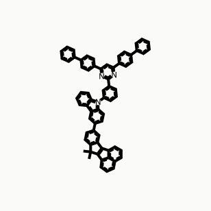 CC1(C)C2=C(c3cc(-c4ccc5c(c4)c4ccccc4n5-c4cccc(-c5nc(-c6ccc(-c7ccccc7)cc6)cc(-c6ccc(-c7ccccc7)cc6)n5)c4)ccc31)c1cccc3cccc2c13